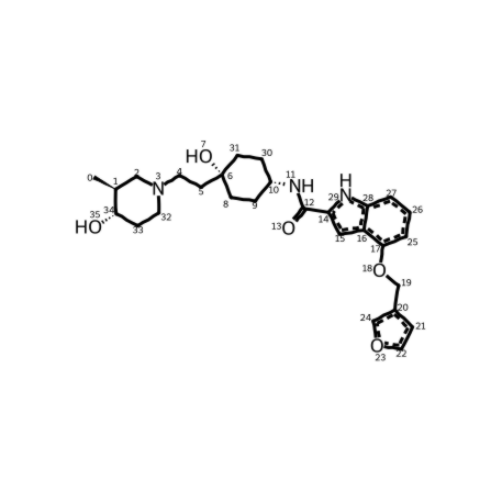 C[C@H]1CN(CC[C@]2(O)CC[C@@H](NC(=O)c3cc4c(OCc5ccoc5)cccc4[nH]3)CC2)CC[C@@H]1O